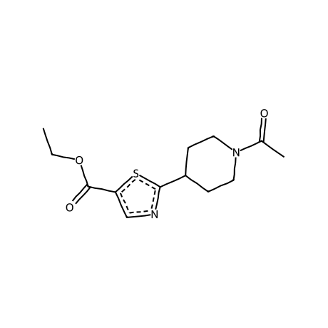 CCOC(=O)c1cnc(C2CCN(C(C)=O)CC2)s1